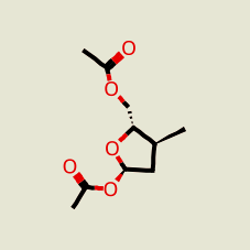 CC(=O)OC[C@H]1O[C@H](OC(C)=O)C[C@@H]1C